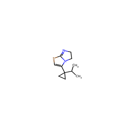 CC(C)C1(C2=CSC3=NCCN23)CC1